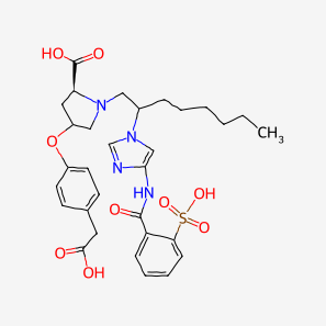 CCCCCCC(CN1CC(Oc2ccc(CC(=O)O)cc2)C[C@H]1C(=O)O)n1cnc(NC(=O)c2ccccc2S(=O)(=O)O)c1